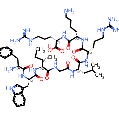 CC[C@H](C)[C@H](NC(=O)[C@H](Cc1c[nH]c2ccccc12)NC(=O)[C@@H](N)Cc1ccccc1)C(=O)NCC(=O)N[C@@H](CC(C)C)C(=O)N[C@@H](CCCNC(=N)N)C(=O)N[C@@H](CCCCN)C(=O)N[C@@H](CCCNC(=N)N)C(=O)O